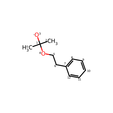 CC(C)([O])OCCc1ccccc1